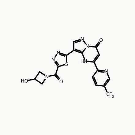 O=C(c1nnc(-c2cnn3c(=O)cc(-c4ccc(C(F)(F)F)cn4)[nH]c23)s1)N1CC(O)C1